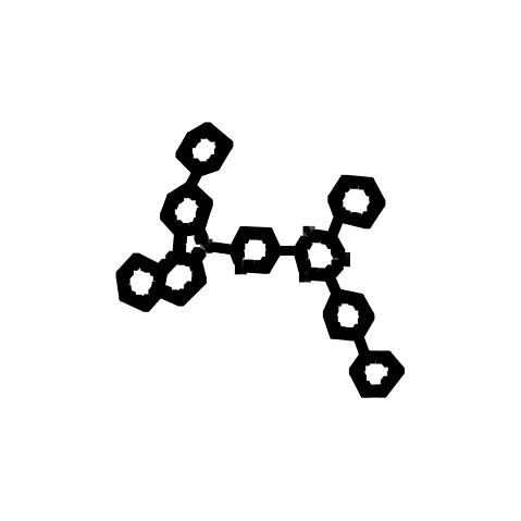 c1ccc(-c2ccc(-c3nc(-c4ccccc4)nc(-c4ccc(-n5c6cc(-c7ccccc7)ccc6c6c7ccccc7ccc65)nc4)n3)cc2)cc1